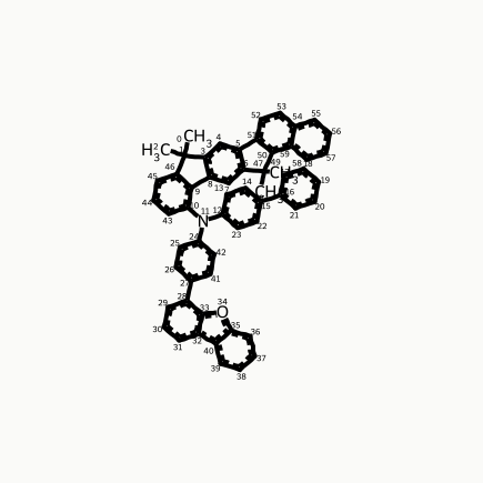 CC1(C)c2cc3c(cc2-c2c(N(c4ccc(-c5ccccc5)cc4)c4ccc(-c5cccc6c5oc5ccccc56)cc4)cccc21)C(C)(C)c1c-3ccc2ccccc12